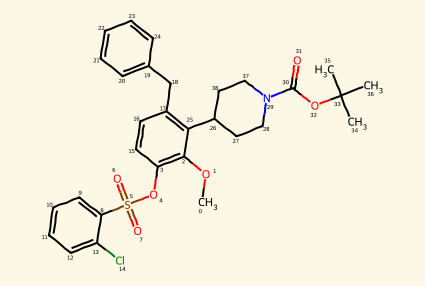 COc1c(OS(=O)(=O)c2ccccc2Cl)ccc(Cc2ccccc2)c1C1CCN(C(=O)OC(C)(C)C)CC1